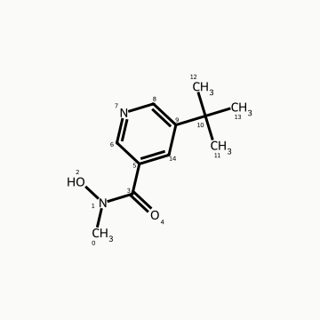 CN(O)C(=O)c1cncc(C(C)(C)C)c1